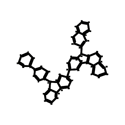 c1ccc(-c2ccc(-n3c4ccccc4c4ccc(-c5ccc6c(c5)c5c7ccccc7ccc5n6-c5ncc6ccccc6n5)cc43)cc2)cc1